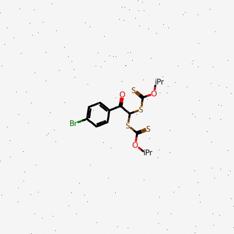 CC(C)OC(=S)SC(SC(=S)OC(C)C)C(=O)c1ccc(Br)cc1